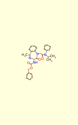 CC1=NC(NC(=O)OCc2ccccc2)C(=O)N(CC(=O)N(c2ccccc2)C(C)C)c2ccccc21